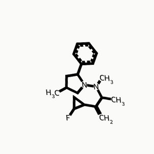 C=C(C1CC1F)C(C)N(C)N1CC(C)CC1c1ccccc1